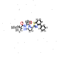 CN[C@@H](C)C(=O)N[C@H](C(=O)N1CCC[C@H]1c1nc2c(-c3ccccc3)cccc2s1)C(C)(C)C